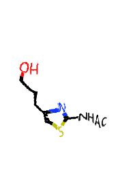 CC(=O)Nc1nc(CCCO)cs1